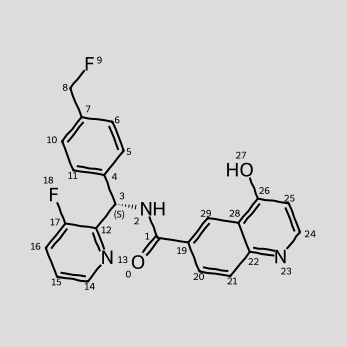 O=C(N[C@@H](c1ccc(CF)cc1)c1ncccc1F)c1ccc2nccc(O)c2c1